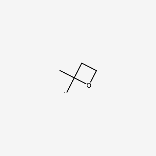 [CH2]C1(C)CCO1